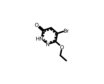 CCOc1n[nH]c(=O)cc1Br